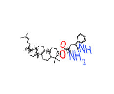 CC(C)=CCC[C@@H](C)[C@H]1CC[C@@]2(C)C3=C(CC[C@]12C)[C@@]1(C)CC[C@H](OC(=O)[C@@H](N)Cc2c[nH]c4ccccc24)C(C)(C)C1CC3